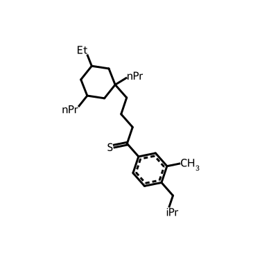 CCCC1CC(CC)CC(CCC)(CCCC(=S)c2ccc(CC(C)C)c(C)c2)C1